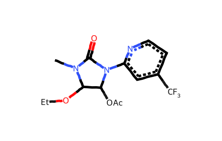 CCOC1C(OC(C)=O)N(c2cc(C(F)(F)F)ccn2)C(=O)N1C